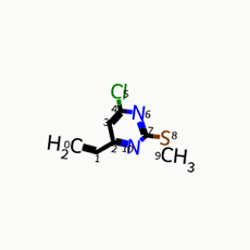 C=Cc1cc(Cl)nc(SC)n1